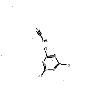 Clc1nc(Cl)nc(Cl)n1.N#CN